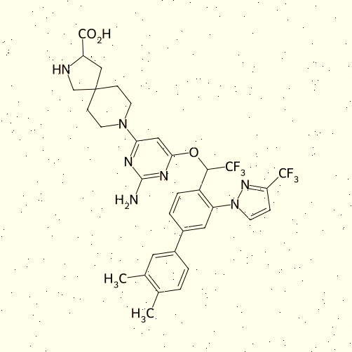 Cc1ccc(-c2ccc(C(Oc3cc(N4CCC5(CC4)CNC(C(=O)O)C5)nc(N)n3)C(F)(F)F)c(-n3ccc(C(F)(F)F)n3)c2)cc1C